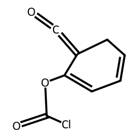 O=C=C1CC=CC=C1OC(=O)Cl